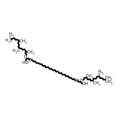 CC(C)CCCC(C)CCCC(C)CCCC(C)CCOC(CO)COCCCCCCCCCCCCCCCCCCCCCCCCCCCCOCC(CO)OCCC(C)CCCC(C)CCCC(C)CCCC(C)C